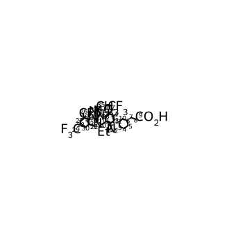 CCN(C[C@H]1CC[C@H](CCC(=O)O)CC1)c1ccc(OC(F)(F)F)cc1CN(Cc1cc(C(F)(F)F)cc(C(F)(F)F)c1)c1nnn(C)n1